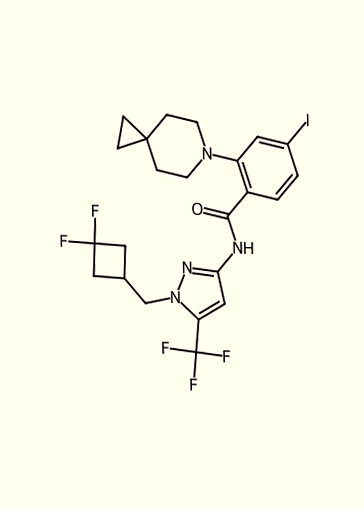 O=C(Nc1cc(C(F)(F)F)n(CC2CC(F)(F)C2)n1)c1ccc(I)cc1N1CCC2(CC1)CC2